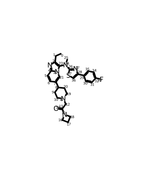 CCc1nc2ccc(C3CCN(CC(=O)N4CCC4)CC3)cn2c1N(C)c1nc(-c2ccc(F)cc2)cs1